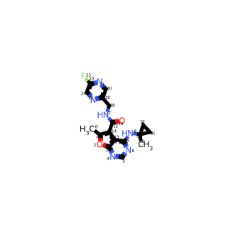 Cc1oc2ncnc(NC3(C)CC3)c2c1C(=O)NCc1cnc(F)cn1